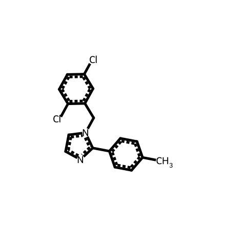 Cc1ccc(-c2nccn2Cc2cc(Cl)ccc2Cl)cc1